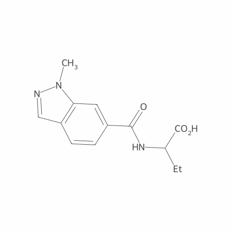 CCC(NC(=O)c1ccc2cnn(C)c2c1)C(=O)O